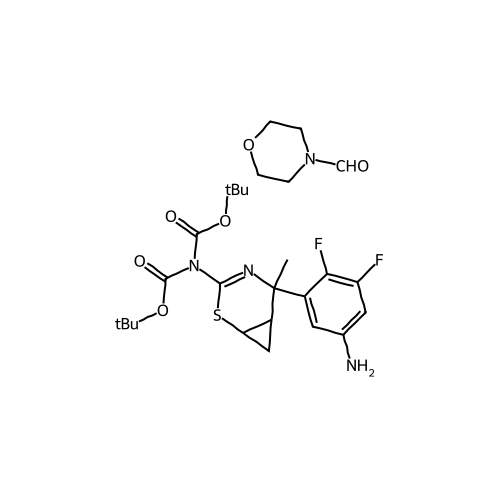 CC(C)(C)OC(=O)N(C(=O)OC(C)(C)C)C1=NC(C)(c2cc(N)cc(F)c2F)C2CC2S1.O=CN1CCOCC1